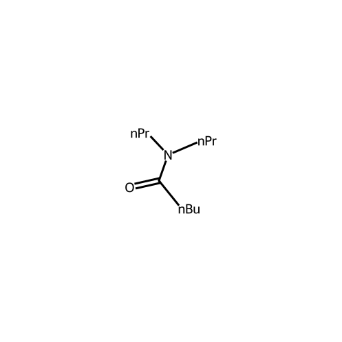 CCCCC(=O)N(CCC)CCC